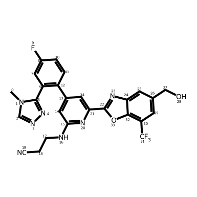 Cn1cnnc1-c1cc(F)ccc1-c1cc(NCCC#N)nc(-c2nc3cc(CO)cc(C(F)(F)F)c3o2)c1